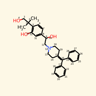 CC(C)(CO)c1ccc(C(O)CN2CCC(=C(c3ccccc3)c3ccccc3)CC2)cc1O